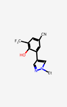 CCn1cc(-c2cc(C#N)cc(C(F)(F)F)c2O)cn1